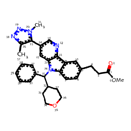 COC(=O)CCc1ccc2c(c1)c1ncc(-c3c(C)nnn3C)cc1n2C(c1ccccc1)C1CCOCC1